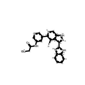 CC(C)(C)CC(=O)Nc1cncc(-c2ncc3[nH]nc(-c4nc5ccccc5[nH]4)c3c2F)c1